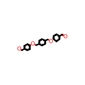 O=Cc1ccc(OCc2ccc(COc3ccc(C=O)cc3)cc2)cc1